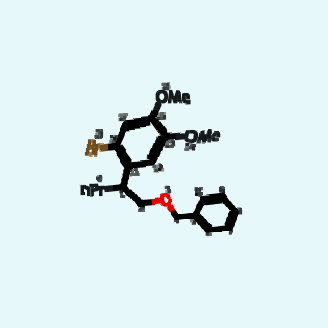 CCCC(COCc1ccccc1)c1cc(OC)c(OC)cc1Br